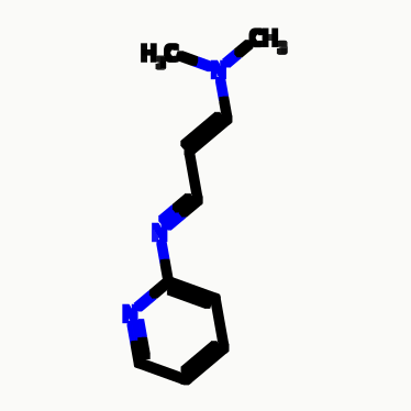 CN(C)C=CC=Nc1ccccn1